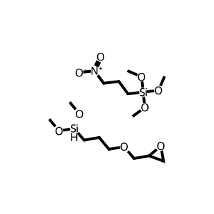 CO[SiH](CCCOCC1CO1)OC.CO[Si](CCC[N+](=O)[O-])(OC)OC